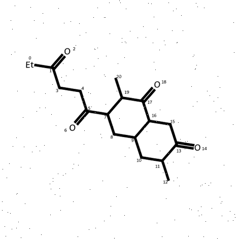 CCC(=O)CCC(=O)C1CC2CC(C)C(=O)CC2C(=O)C1C